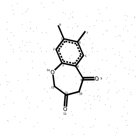 Cc1cc2c(cc1C)C(=O)CC(=O)CO2